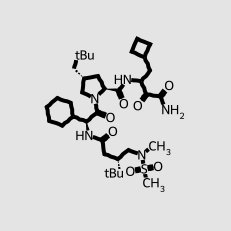 CN(C[C@@H](CC(=O)N[C@H](C(=O)N1C[C@H](CC(C)(C)C)C[C@H]1C(=O)NC(CC1CCC1)C(=O)C(N)=O)C1CCCCC1)C(C)(C)C)S(C)(=O)=O